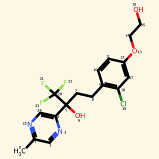 Cc1cnc(C(O)(CCc2ccc(OCCO)cc2Cl)C(F)(F)F)cn1